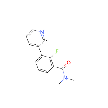 CN(C)C(=O)c1cccc(-c2[c]nccc2)c1F